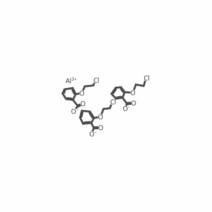 O=C([O-])c1ccccc1OCCCl.O=C([O-])c1ccccc1OCCCl.O=C([O-])c1ccccc1OCCCl.[Al+3]